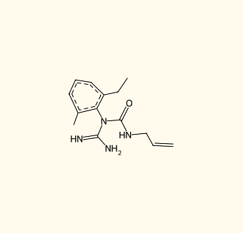 C=CCNC(=O)N(C(=N)N)c1c(C)cccc1CC